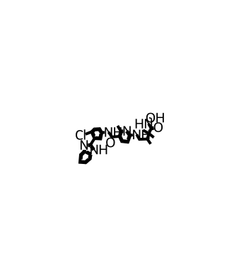 Cc1nc(NCC(C)C(C)(C)C(=O)NO)ccc1C(=O)Nc1ccc(Cl)c(-c2nc3ccccc3[nH]2)c1